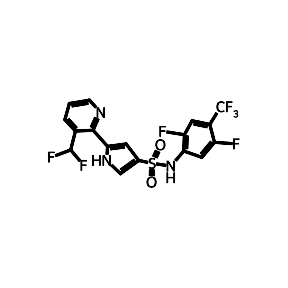 O=S(=O)(Nc1cc(F)c(C(F)(F)F)cc1F)c1c[nH]c(-c2ncccc2C(F)F)c1